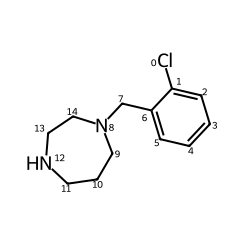 Clc1ccccc1CN1CCCNCC1